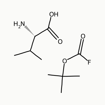 CC(C)(C)OC(=O)F.CC(C)[C@H](N)C(=O)O